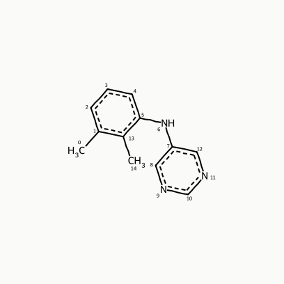 Cc1cccc(Nc2cncnc2)c1C